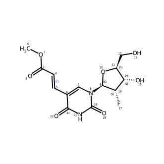 COC(=O)/C=C/c1cn([C@H]2O[C@@H](CO)[C@H](O)[C@@H]2F)c(=O)[nH]c1=O